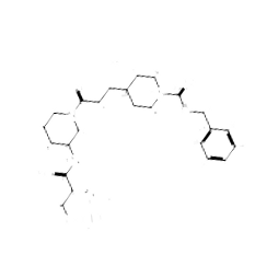 CCOC(=O)C[C@@H](N)C(=O)NC1CCCN(C(=O)CCC2CCN(C(=O)OCc3ccccc3)CC2)C1.Cl